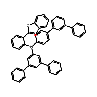 c1ccc(-c2cccc(-c3ccc(N(c4cc(-c5ccccc5)cc(-c5ccccc5)c4)c4ccccc4-c4cc5ccccc5o4)cc3)c2)cc1